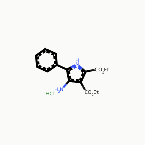 CCOC(=O)c1[nH]c(-c2ccccc2)c(N)c1C(=O)OCC.Cl